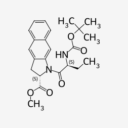 CC[C@H](NC(=O)OC(C)(C)C)C(=O)N1c2cc3ccccc3cc2C[C@H]1C(=O)OC